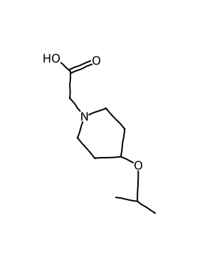 CC(C)OC1CCN(CC(=O)O)CC1